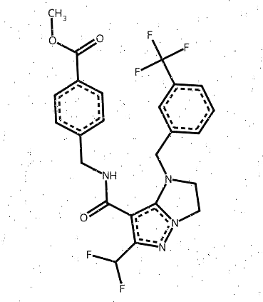 COC(=O)c1ccc(CNC(=O)c2c(C(F)F)nn3c2N(Cc2cccc(C(F)(F)F)c2)CC3)cc1